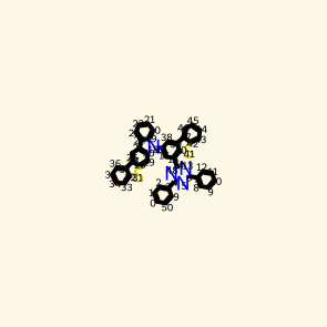 c1ccc(-c2nc(-c3ccccc3)nc(-c3cc(-n4c5ccccc5c5cc6c(cc54)sc4ccccc46)cc4c3sc3ccccc34)n2)cc1